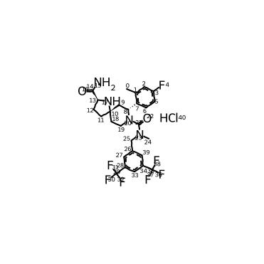 Cc1cc(F)ccc1[C@H]1C[C@]2(CC[C@@H](C(N)=O)N2)CCN1C(=O)N(C)Cc1cc(C(F)(F)F)cc(C(F)(F)F)c1.Cl